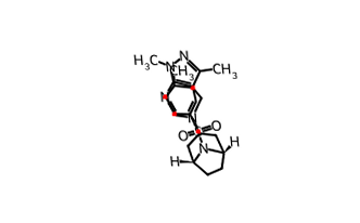 Cc1nn(C)c2ncc(S(=O)(=O)N3[C@@H]4CC[C@H]3C[C@H](N3CCC(C)CC3)C4)cc12